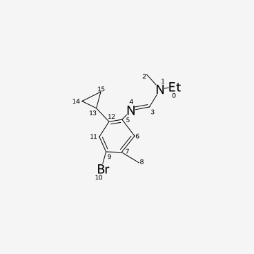 CCN(C)C=Nc1cc(C)c(Br)cc1C1CC1